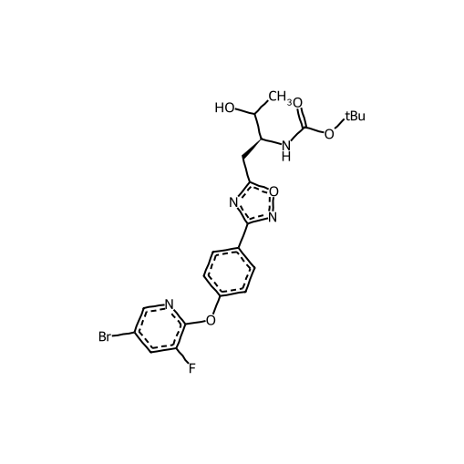 CC(O)[C@H](Cc1nc(-c2ccc(Oc3ncc(Br)cc3F)cc2)no1)NC(=O)OC(C)(C)C